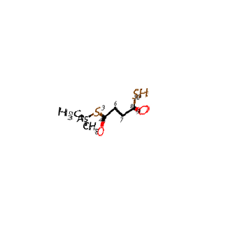 C[As](C)SC(=O)CCC(=O)S